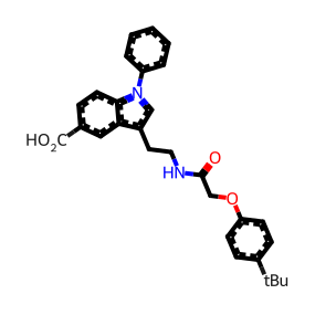 CC(C)(C)c1ccc(OCC(=O)NCCc2cn(-c3ccccc3)c3ccc(C(=O)O)cc23)cc1